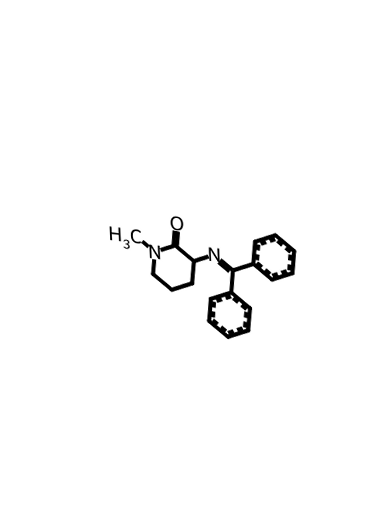 CN1CCCC(N=C(c2ccccc2)c2ccccc2)C1=O